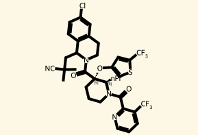 CCC[C@H]1N(C(=O)c2ncccc2C(F)(F)F)CCC[C@@]1(Oc1csc(C(F)(F)F)c1)C(=O)N1CCc2cc(Cl)ccc2C1CC(C)(C)C#N